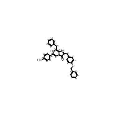 O=c1c(Cc2ccc(OCc3ccccc3)cc2)nc2c(Cc3ccccc3)[nH]c(-c3ccc(O)cc3)cn1-2